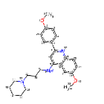 COc1ccc(-c2cc(NCCCN3CCCCC3)c3cc(OC)ccc3n2)cc1